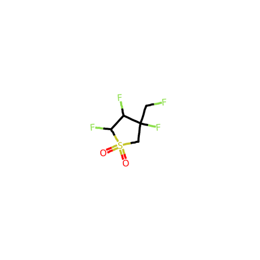 O=S1(=O)CC(F)(CF)C(F)C1F